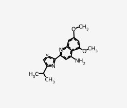 COc1cc(OC)c2c(N)cc(-c3nc(C(C)C)cs3)nc2c1